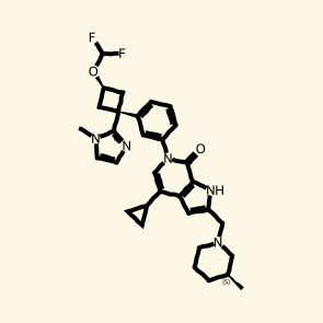 C[C@H]1CCCN(Cc2cc3c(C4CC4)cn(-c4cccc([C@]5(c6nccn6C)C[C@H](OC(F)F)C5)c4)c(=O)c3[nH]2)C1